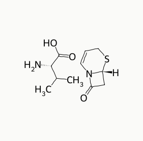 CC(C)[C@H](N)C(=O)O.O=C1C[C@H]2SCC=CN12